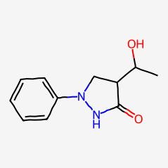 CC(O)C1CN(c2ccccc2)NC1=O